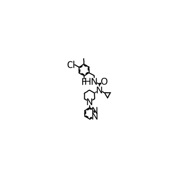 Cc1cc(CNC(=O)N(C2CC2)[C@@H]2CCCN(c3cccnn3)C2)c(F)cc1Cl